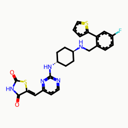 O=C1NC(=O)C(=Cc2ccnc(N[C@H]3CC[C@H](NCc4ccc(F)cc4-c4cccs4)CC3)n2)S1